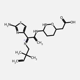 C=CC(C)(C)C/N=C(\C(=C)NC1BOC(CC(=O)O)CC1)c1csc(N)n1